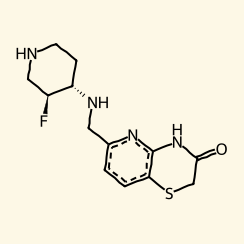 O=C1CSc2ccc(CN[C@H]3CCNC[C@@H]3F)nc2N1